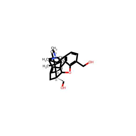 CN1CCC23C4=C5C[C@](CO)(C2Oc2c(CO)ccc(c23)CC41)[C@H]5C(C)(C)C(C)(C)C